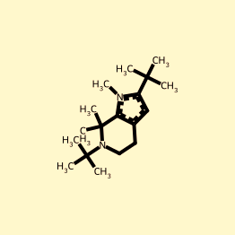 Cn1c(C(C)(C)C)cc2c1C(C)(C)N(C(C)(C)C)CC2